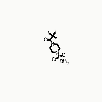 BP(=O)(Cl)N1CCN(C(=O)C(I)(I)I)CC1